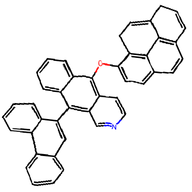 C1=Cc2ccc3ccc(Oc4c5ccccc5c(-c5cc6ccccc6c6ccccc56)c5cnccc45)c4c3c2C(=CC4)C1